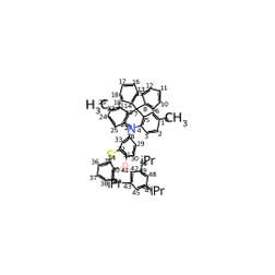 Cc1ccc2c(c1)C(c1ccccc1)(c1ccccc1)c1cc(C)ccc1N2c1ccc2c(c1)Sc1ccccc1B2c1c(C(C)C)cc(C(C)C)cc1C(C)C